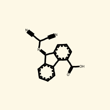 N#CC(C#N)N=C1c2ccccc2-c2c(C(=O)O)cccc21